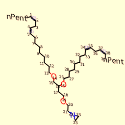 CCCCC/C=C\C/C=C\CCCCCCCCOCC(CCOCCN1CC1)OCCCCCCCC/C=C\C/C=C\CCCCC